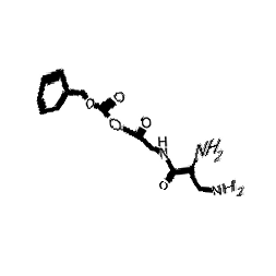 NC[C@H](N)C(=O)NCC(=O)OC(=O)OCc1ccccc1